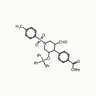 COC(=O)c1ccc(C2C(C=O)CN(S(=O)(=O)c3ccc(C)cc3)CC2O[Si](C(C)C)(C(C)C)C(C)C)cc1